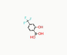 OB(O)c1ccc(C(F)(F)F)cc1O